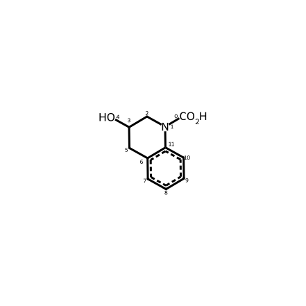 O=C(O)N1CC(O)Cc2ccccc21